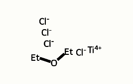 CCOCC.[Cl-].[Cl-].[Cl-].[Cl-].[Ti+4]